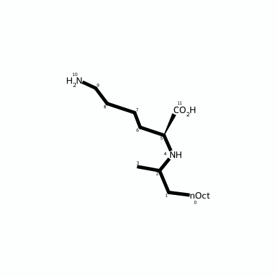 CCCCCCCCCC(C)N[C@@H](CCCCN)C(=O)O